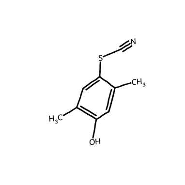 Cc1cc(SC#N)c(C)cc1O